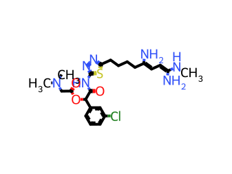 CN/C(N)=C/C=C(\N)CCCCc1nnc(NC(=O)C(OC(=O)CN(C)C)c2cccc(Cl)c2)s1